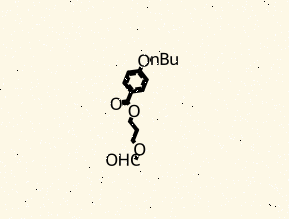 CCCCOc1ccc(C(=O)OCCCOC=O)cc1